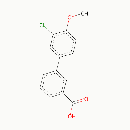 COc1ccc(-c2cccc(C(=O)O)c2)cc1Cl